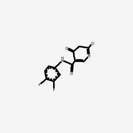 O=C1CC(Cl)=NC=C1C(=O)Nc1ccc(F)c(F)c1